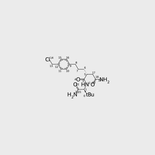 CC(C)(C)[C@H](NC(=O)[C@H](CCCc1ccc(CCl)cc1)CC(N)=O)C(N)=O